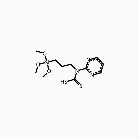 CO[Si](CCCN(C(=S)S)c1ncccn1)(OC)OC